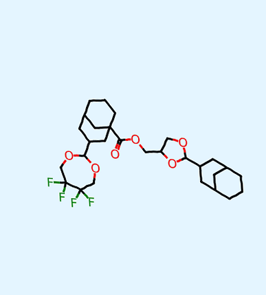 O=C(OCC1COC(C2CC3CCCC(C3)C2)O1)C12CCCC(CC(C3OCC(F)(F)C(F)(F)CO3)C1)C2